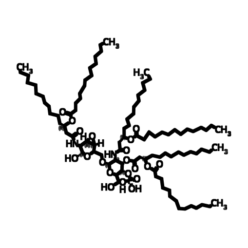 CCCCCCCCCCCCCC(=O)O[C@H](CCCCCCCCCCCC)CC(=O)NC1[C@H]2O[C@@H]2C(CO[C@@H]2OC(CO)[C@@H](OP(=O)(O)O)C(OC(=O)C[C@@H](CCCCCCCCCCC)OC(=O)CCCCCCCCCCCCC)[C@@H]2NC(=O)C[C@@H](CCCCCCCCCCC)OC(=O)CCCCCCCCCCCCC)O[C@@H]1O